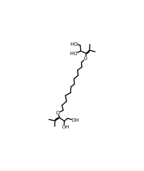 CC(C)=C(OCCCCCCCCCCCCOC(=C(C)C)C(O)CO)C(O)CO